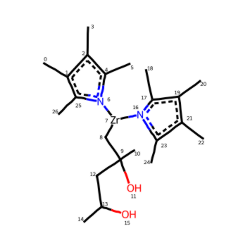 Cc1c(C)c(C)[n]([Zr]([CH2]C(C)(O)CC(C)O)[n]2c(C)c(C)c(C)c2C)c1C